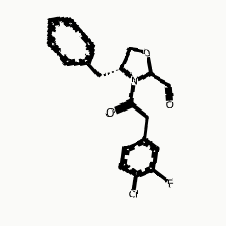 O=CC1OC[C@@H](Cc2ccccc2)N1C(=O)Cc1ccc(Cl)c(F)c1